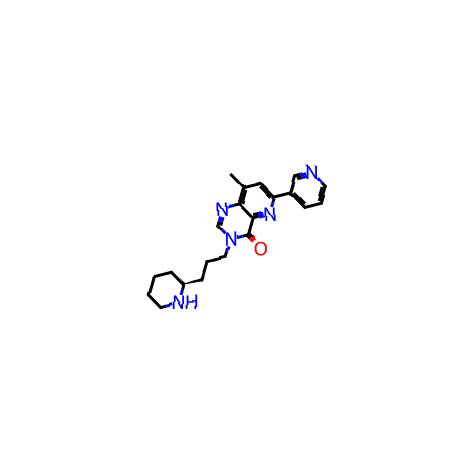 Cc1cc(-c2cccnc2)nc2c(=O)n(CCC[C@@H]3CCCCN3)cnc12